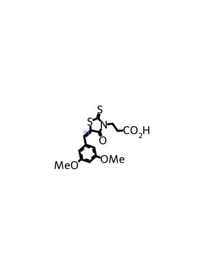 COc1cc(/C=C2/SC(=S)N(CCC(=O)O)C2=O)cc(OC)c1